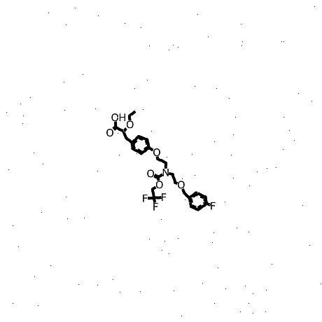 CCOC(Cc1ccc(OCCN(CCOCc2ccc(F)cc2)C(=O)OCC(F)(F)F)cc1)C(=O)O